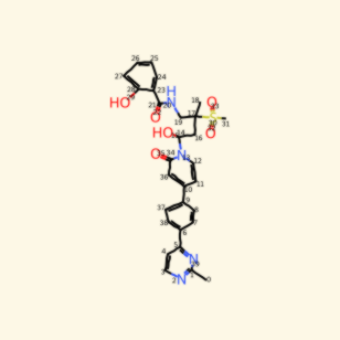 Cc1nccc(-c2ccc(-c3ccn(C(O)CC(C)(CNC(=O)c4ccccc4O)S(C)(=O)=O)c(=O)c3)cc2)n1